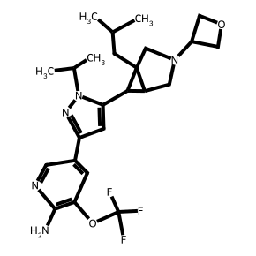 CC(C)CC12CN(C3COC3)CC1C2c1cc(-c2cnc(N)c(OC(F)(F)F)c2)nn1C(C)C